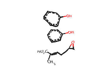 CC(=CCC1CO1)C(=O)O.Oc1ccccc1.Oc1ccccc1